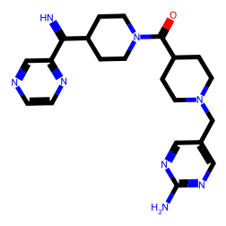 N=C(c1cnccn1)C1CCN(C(=O)C2CCN(Cc3cnc(N)nc3)CC2)CC1